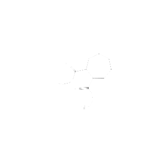 CCCOC(=O)C1CCCCCC1C(=O)OCCC